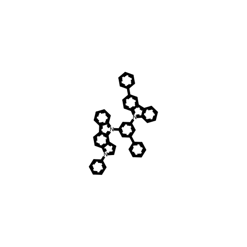 c1ccc(-c2cc(-n3c4ccccc4c4cc(-c5ccccc5)ccc43)cc(-n3c4ccccc4c4ccc5c(ccn5-c5ccccc5)c43)c2)cc1